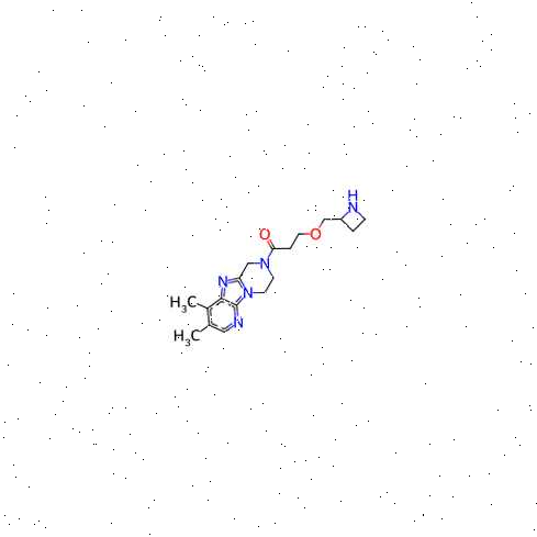 Cc1cnc2c(nc3n2CCN(C(=O)CCOCC2CCN2)C3)c1C